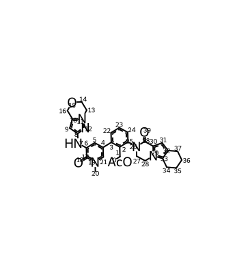 CC(=O)OCc1c(-c2cc(Nc3cc4n(n3)CCOC4)c(=O)n(C)c2)cccc1N1CCn2c(cc3c2CCCC3)C1=O